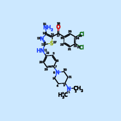 CN(C)C1CCN(c2ccc(Nc3nc(N)c(C(=O)c4ccc(Cl)c(Cl)c4)s3)cc2)CC1